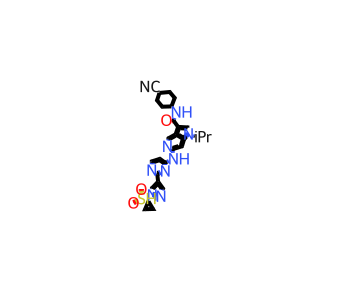 CC(C)n1cc(C(=O)NC2CCC(C#N)CC2)c2cnc(Nc3ccnc(-c4cnn(C5([SH](=O)=O)CC5)c4)n3)cc21